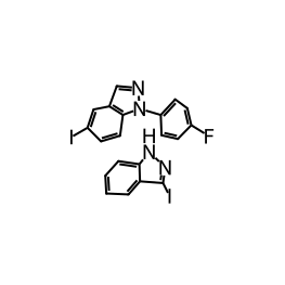 Fc1ccc(-n2ncc3cc(I)ccc32)cc1.Ic1n[nH]c2ccccc12